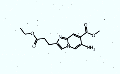 CCOC(=O)CCc1cn2cc(N)c(C(=O)OC)cc2n1